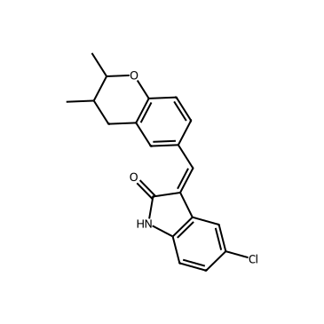 CC1Cc2cc(C=C3C(=O)Nc4ccc(Cl)cc43)ccc2OC1C